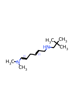 CN(C)/C=C/C/C=C/CNCC(C)(C)C